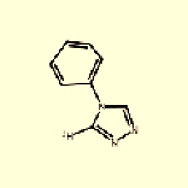 [2H]c1nncn1-c1ccccc1